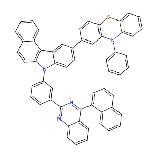 c1ccc(N2c3ccccc3Sc3ccc(-c4ccc5c(c4)c4c6ccccc6ccc4n5-c4cccc(-c5nc(-c6cccc7ccccc67)c6ccccc6n5)c4)cc32)cc1